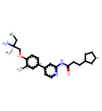 CC(C)C[C@](C)(N)COc1ccc(-c2ccnc(NC(=O)CCC3CCCC3)c2)cc1C(F)(F)F